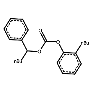 CCCCc1ccccc1OC(=O)OC(CCCC)c1ccccc1